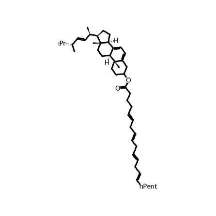 CCCCCC=CCC=CCC=CCC=CCCCC(=O)OC1CC[C@@]2(C)C(=CC=C3[C@@H]4CC[C@H]([C@H](C)C=C[C@H](C)C(C)C)[C@@]4(C)CC[C@@H]32)C1